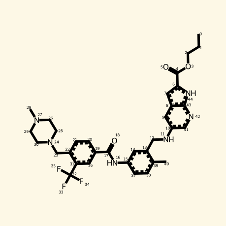 CCCOC(=O)c1cc2cc(NCc3cc(NC(=O)c4ccc(CN5CCN(C)CC5)c(C(F)(F)F)c4)ccc3C)cnc2[nH]1